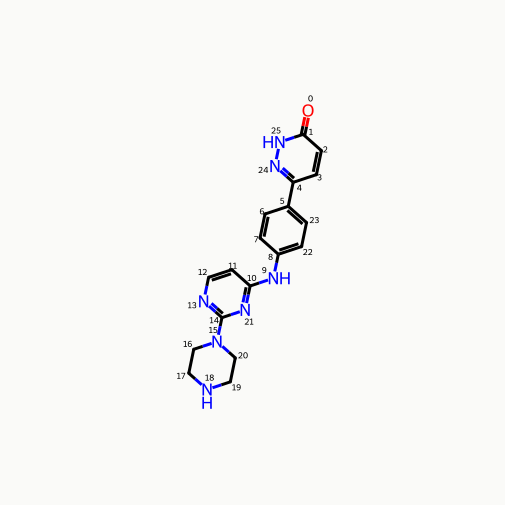 O=c1ccc(-c2ccc(Nc3ccnc(N4CCNCC4)n3)cc2)n[nH]1